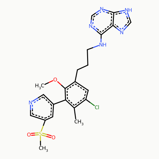 COc1c(CCCNc2ncnc3[nH]cnc23)cc(Cl)c(C)c1-c1cncc(S(C)(=O)=O)c1